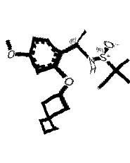 COc1ccc([C@@H](C)N[S@@+]([O-])C(C)(C)C)c(OC2CC3(CCC3)C2)c1